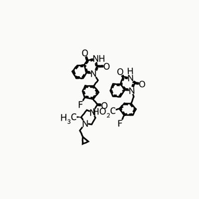 C[C@H]1CN(C(=O)c2cc(Cn3c(=O)[nH]c(=O)c4ccccc43)ccc2F)CCN1CC1CC1.O=C(O)c1cc(Cn2c(=O)[nH]c(=O)c3ccccc32)ccc1F